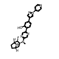 CN(c1cnc(-c2ccc(-c3cnn(-c4ccncc4)c3)cc2O)cn1)[C@H]1C[C@@H]2CC[C@@H](N2)[C@H]1F